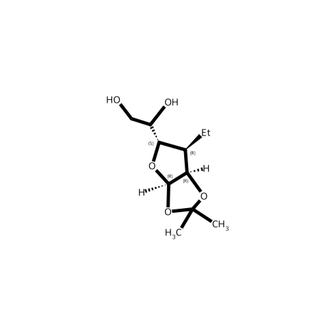 CC[C@H]1[C@H]2OC(C)(C)O[C@H]2O[C@@H]1C(O)CO